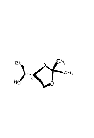 CCC(O)[C@H]1COC(C)(C)O1